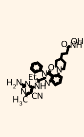 CC[C@H](Nc1nc(N)nc(C)c1C#N)c1nc2cccc(N3CCC(CCC(=O)NO)CC3)c2c(=O)n1-c1ccccc1